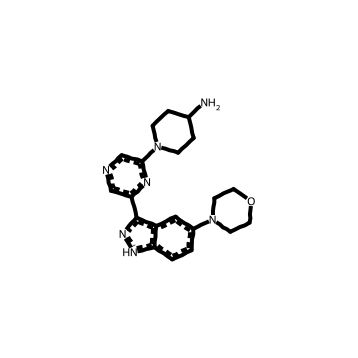 NC1CCN(c2cncc(-c3n[nH]c4ccc(N5CCOCC5)cc34)n2)CC1